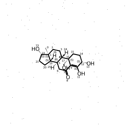 C[C@]12CC[C@H]3[C@@H](CC(=O)C4=C(O)[C@@H](O)CC[C@@]43CO)[C@@H]1CC[C@@H]2O